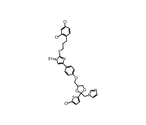 CCn1cc(-c2ccc(OCC3COC(Cn4ccnc4)(c4ccc(Cl)s4)O3)cc2)nc1SCCCc1ccc(Cl)cc1Cl